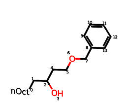 CCCCCCCCCC(O)CCOCc1ccccc1